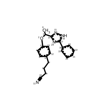 CC(Oc1ccc(CCCC#N)cc1)c1n[nH]c(-c2ccccc2)n1